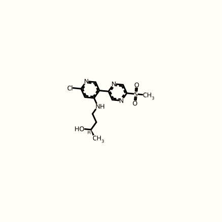 C[C@@H](O)CCNc1cc(Cl)ncc1-c1cnc(S(C)(=O)=O)cn1